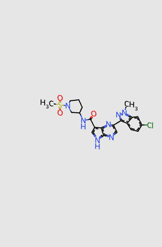 Cn1nc(-c2cnc3[nH]cc(C(=O)NC4CCCN(S(C)(=O)=O)C4)c3n2)c2ccc(Cl)cc21